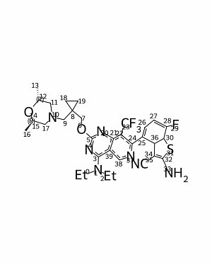 CCN(CC)c1nc(OCC2(CN3C[C@@H](C)O[C@H](C)C3)CC2)nc2c(C(F)(F)F)c(C3=CC=C(F)C4SC(N)=C(C#N)C34)ncc12